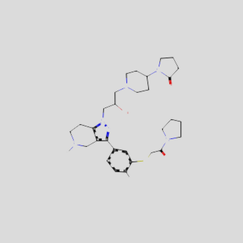 CCN1CCc2c(c(-c3ccc(C(F)(F)F)c(SCC(=O)N4CCCC4)c3)nn2CC(O)CN2CCC(N3CCCC3=O)CC2)C1